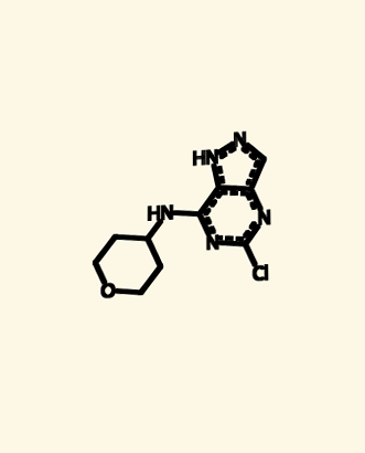 Clc1nc(NC2CCOCC2)c2[nH]ncc2n1